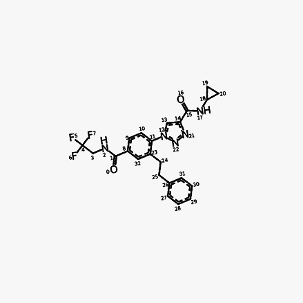 O=C(NCC(F)(F)F)c1ccc(-n2cc(C(=O)NC3CC3)nn2)c(CCc2ccccc2)c1